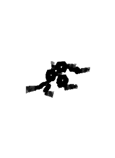 COc1ccc(-[n+]2c3cc(NCCCO)ccc3nc3ccc(N(CCC#N)CCC#N)cc32)cc1.[I-]